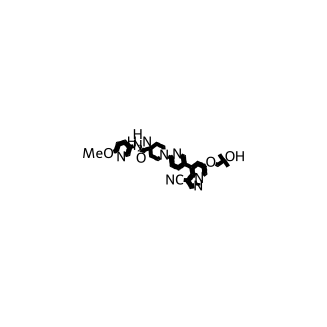 COc1ccc(NC(=O)C2(N)CCN(c3ccc(-c4cc(OCC(C)(C)O)cn5ncc(C#N)c45)cn3)CC2)cn1